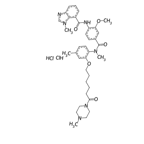 COc1cc(C(=O)N(C)c2ccc(C)cc2OCCCCCC(=O)N2CCN(C)CC2)ccc1NC(=O)c1cccc2ncn(C)c12.Cl.Cl